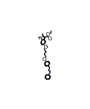 CCOC(=O)c1c(C)n(C)c2ccc(OCCCCOc3ccc(C/C=C/c4ccccc4)cc3)cc12